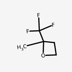 CC1(C(F)(F)F)CCO1